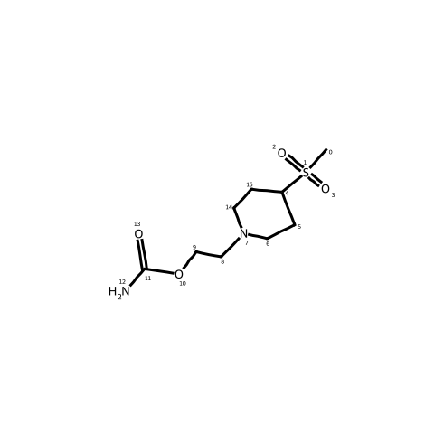 CS(=O)(=O)C1CCN(CCOC(N)=O)CC1